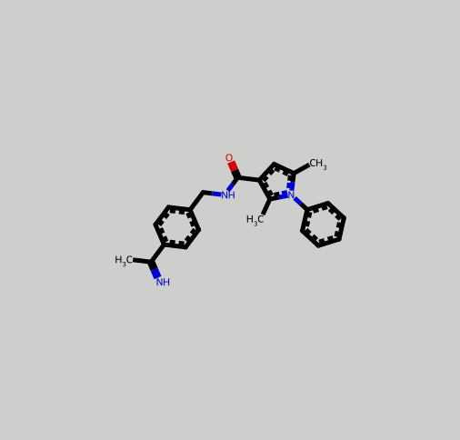 CC(=N)c1ccc(CNC(=O)c2cc(C)n(-c3ccccc3)c2C)cc1